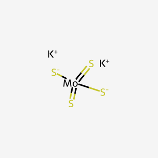 [K+].[K+].[S]=[Mo](=[S])([S-])[S-]